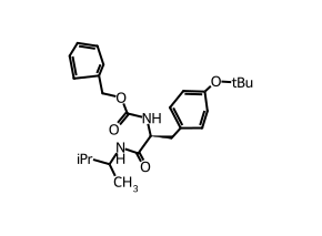 CC(C)C(C)NC(=O)[C@H](Cc1ccc(OC(C)(C)C)cc1)NC(=O)OCc1ccccc1